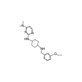 CCOc1cccc(CNC2CCC(Nc3nccc(N(C)C)n3)CC2)c1